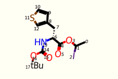 CC(I)OC(=O)[C@@H](Cc1ccsc1)NC(=O)OC(C)(C)C